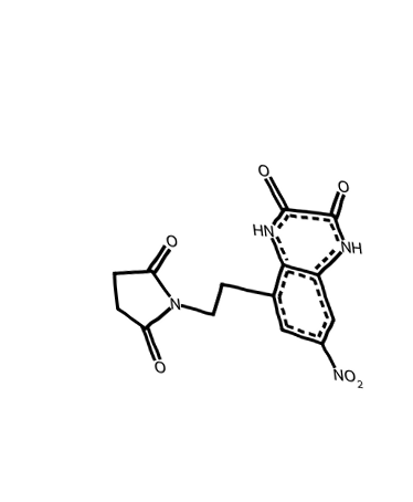 O=C1CCC(=O)N1CCc1cc([N+](=O)[O-])cc2[nH]c(=O)c(=O)[nH]c12